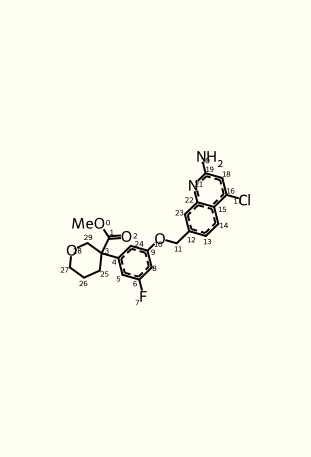 COC(=O)C1(c2cc(F)cc(OCc3ccc4c(Cl)cc(N)nc4c3)c2)CCCOC1